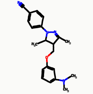 CC1=NN(c2ccc(C#N)cc2)C(C)C1COc1cccc(N(C)C)c1